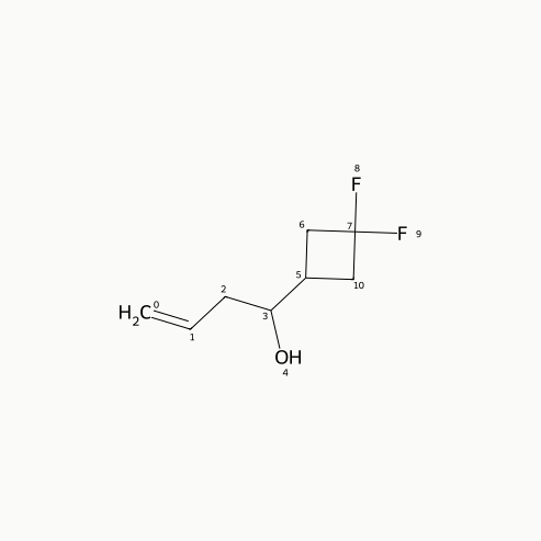 C=CCC(O)C1CC(F)(F)C1